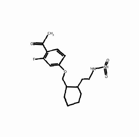 CC(=O)c1ccc(OCC2CCCCC2CCN[SH](=O)=O)cc1F